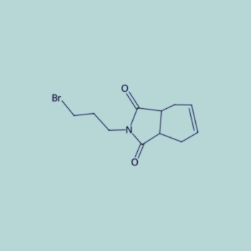 O=C1C2CC=CCC2C(=O)N1CCCBr